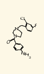 Nc1ccc(C(=O)N2CCN(Cc3ccc(F)cc3Cl)CC2)cc1